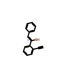 C#Cc1ccccc1/C(S)=C/c1ccccc1